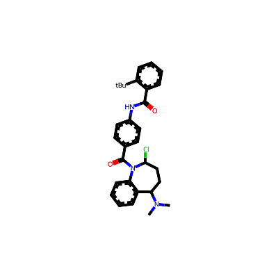 CN(C)C1CCC(Cl)N(C(=O)c2ccc(NC(=O)c3ccccc3C(C)(C)C)cc2)c2ccccc21